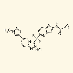 Cl.Cn1cc(-c2ccc3nnc(C(F)(F)c4ccc5nc(NC(=O)C6CC6)cn5n4)n3c2)cn1